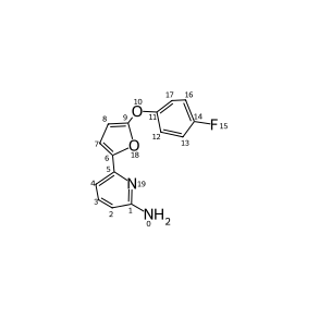 Nc1cccc(-c2ccc(Oc3ccc(F)cc3)o2)n1